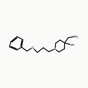 NCC1(O)CCN(CCCOCc2ccccc2)CC1